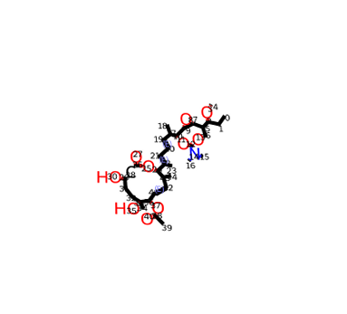 CCC(OC)C(C)C1OC1C(OC(=O)N(C)C)C(C)/C=C/C=C(\C)C1OC(=O)CC(O)CCC(C)(O)C(OC(C)=O)/C=C/C1C